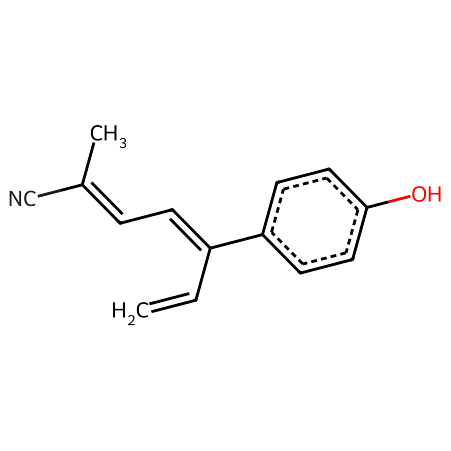 C=C/C(=C\C=C(/C)C#N)c1ccc(O)cc1